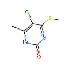 CSc1nc(=O)[nH]c(C)c1Cl